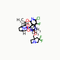 C[C@@H]1Oc2nc(Cl)c(F)c3nc(OCC45CCN4CC(F)(F)C5)nc(c23)N2C[C@H]3CC[C@@H]([C@@H]12)N3C(=O)OC(C)(C)C